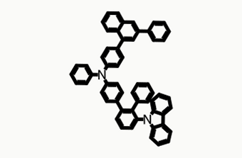 c1ccc(-c2cc(-c3ccc(N(c4ccccc4)c4ccc(-c5cccc(-n6c7ccccc7c7ccccc76)c5-c5ccccc5)cc4)cc3)c3ccccc3c2)cc1